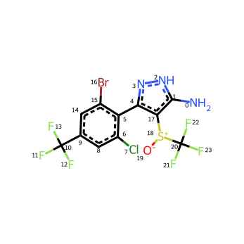 Nc1[nH]nc(-c2c(Cl)cc(C(F)(F)F)cc2Br)c1[S+]([O-])C(F)(F)F